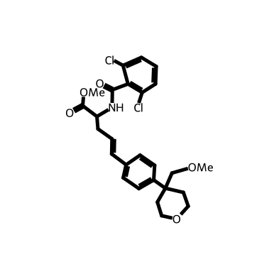 COCC1(c2ccc(C=CCC(NC(=O)c3c(Cl)cccc3Cl)C(=O)OC)cc2)CCOCC1